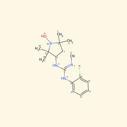 CC1(C)CC(NC(=NC#N)Nc2ccccc2F)C(C)(C)N1O